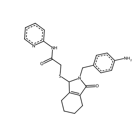 Nc1ccc(CN2C(=O)C3=C(CCCC3)C2SCC(=O)Nc2ccccn2)cc1